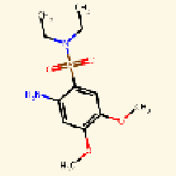 CCN(CC)S(=O)(=O)c1cc(OC)c(OC)cc1N